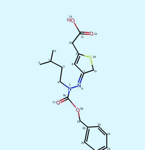 CC(C)CCN(N=C1C=C(CC(=O)O)SC1)C(=O)OCc1ccccc1